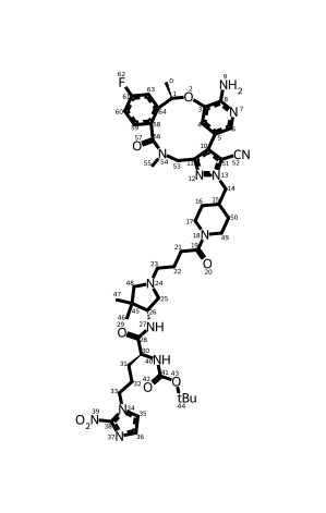 C[C@H]1Oc2cc(cnc2N)-c2c(nn(CC3CCN(C(=O)CCCN4C[C@H](NC(=O)[C@H](CCCn5ccnc5[N+](=O)[O-])NC(=O)OC(C)(C)C)C(C)(C)C4)CC3)c2C#N)CN(C)C(=O)c2ccc(F)cc21